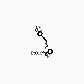 CCOC(=O)Cc1c[nH]c2cccc(OCCCC#Cc3ccc(OC(F)(F)F)cc3)c12